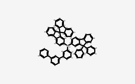 c1ccc(-c2cccc(-c3cccc(N(c4ccc5c(c4)C(c4ccccc4)(c4ccccc4)c4ccccc4-5)c4ccc5c(c4)C4(c6ccccc6-c6ccccc64)c4ccccc4-5)c3)c2)cc1